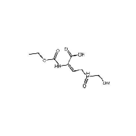 CCOC(=O)NC(=CC[PH](=O)CO)C(=O)O